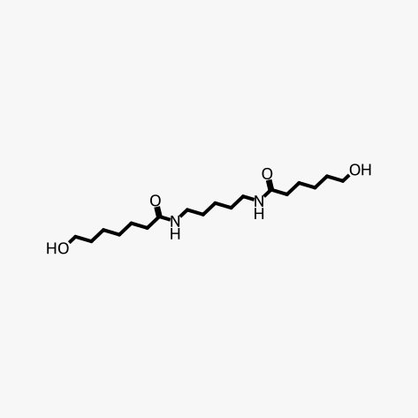 O=C(CCCCCO)NCCCCCNC(=O)CCCCCCO